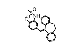 CS(=O)(=O)Nc1cc(C=C2c3ccccc3CCc3ccccc32)ccc1F